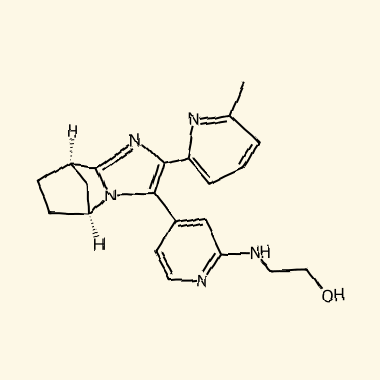 Cc1cccc(-c2nc3n(c2-c2ccnc(NCCO)c2)[C@H]2CC[C@@H]3C2)n1